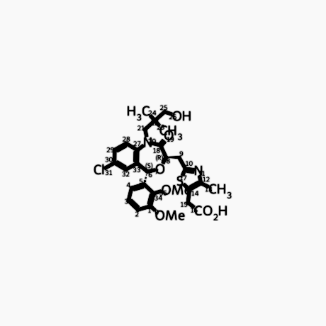 COc1cccc([C@H]2O[C@H](Cc3nc(C)c(CC(=O)O)s3)C(=O)N(CC(C)(C)CO)c3ccc(Cl)cc32)c1OC